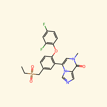 CCS(=O)(=O)Cc1ccc(Oc2ccc(F)cc2F)c(-c2cn(C)c(=O)c3cncn23)c1